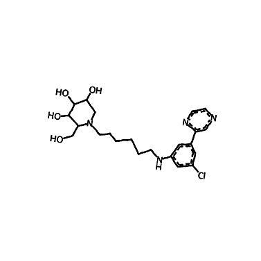 OCC1C(O)C(O)C(O)CN1CCCCCCNc1cc(Cl)cc(-c2cnccn2)c1